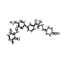 Nc1ncc(-c2cccc(NS(=O)(=O)CCN3CCC(O)CC3)c2)nc1OCc1c(F)ccc(F)c1Cl